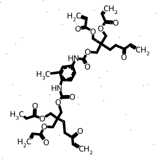 C=CC(=O)CCC(COC(=O)C=C)(COC(=O)C=C)COC(=O)Nc1ccc(NC(=O)OCC(CCC(=O)C=C)(COC(=O)C=C)COC(=O)CC)c(C)c1